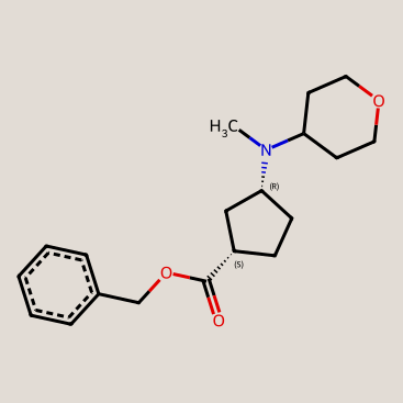 CN(C1CCOCC1)[C@@H]1CC[C@H](C(=O)OCc2ccccc2)C1